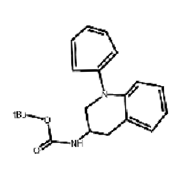 CC(C)(C)OC(=O)NC1Cc2ccccc2N(c2ccccc2)C1